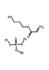 C=CC(=O)OCCCO.CCOP(=O)(OCC)OCC